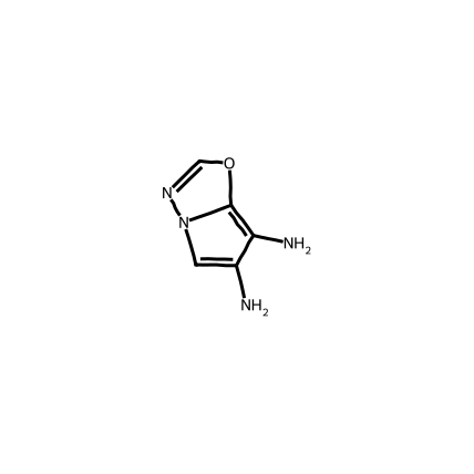 Nc1cn2ncoc2c1N